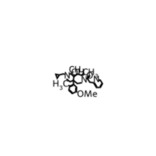 COc1ccc(C)c(C23CCN(CC4CC4)C(C)C2(O)CC(C)N(C(=O)Cc2ccccn2)CC3)c1